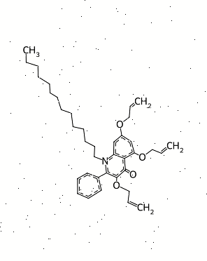 C=CCOc1cc(OCC=C)c2c(=O)c(OCC=C)c(-c3ccccc3)n(CCCCCCCCCCCCCC)c2c1